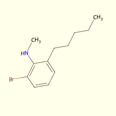 CCCCCc1cccc(Br)c1NC